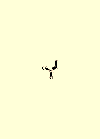 C[CH]=[Pt]([Cl])[Cl]